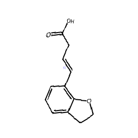 O=C(O)C/C=C/c1cccc2c1OCC2